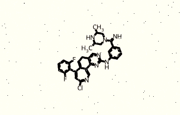 CC1CN(C(=N)c2cccc(Nc3ncc4c(n3)C3=CN=C(Cl)C=C(c5c(F)cccc5F)C3=CC4)c2)CC(C)N1